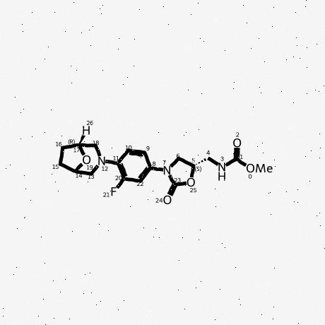 COC(=O)NC[C@H]1CN(c2ccc(N3CC4CC[C@H](C3)O4)c(F)c2)C(=O)O1